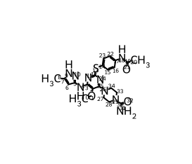 COc1c(Nc2cc(C)[nH]n2)nc(Sc2ccc(NC(C)=O)cc2)nc1N1CCN(C(N)=O)CC1